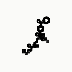 C=CC(=O)NCCCN(C)S(=O)(=O)c1ccc(C(=O)N2CCCCC2)cc1